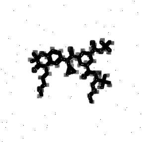 CCOC[C@@H](NC(=O)[C@H]1C[C@@H](C(=O)N(c2ccc3c(c2)N(CCCOC)C(=O)C(C)(C)O3)C2CC2)CN(C(=O)OC(C)(C)C)C1)C(C)(C)C